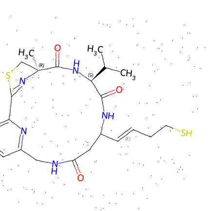 CC(C)[C@@H]1NC(=O)[C@]2(C)CSC(=N2)c2cccc(n2)CNC(=O)CC(/C=C/CCS)NC1=O